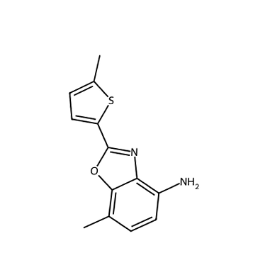 Cc1ccc(-c2nc3c(N)ccc(C)c3o2)s1